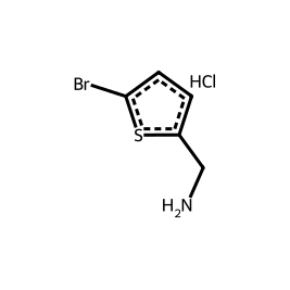 Cl.NCc1ccc(Br)s1